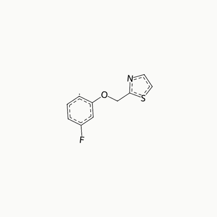 Fc1cc[c]c(OCc2nccs2)c1